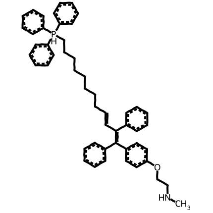 CNCCOc1ccc(/C(=C(/C=C/CCCCCCCC[PH](c2ccccc2)(c2ccccc2)c2ccccc2)c2ccccc2)c2ccccc2)cc1